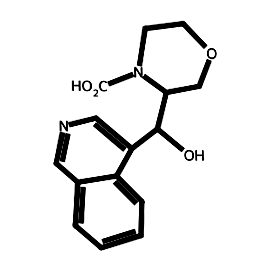 O=C(O)N1CCOCC1C(O)c1cncc2ccccc12